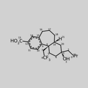 CC(C)C[C@]1(O)CC[C@]2(CC(F)(F)F)c3ccc(C(=O)O)cc3CCC[C@@H]2C1